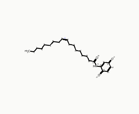 CCCCCCCC/C=C\CCCCCCCC(=O)NC1=CC(=O)C=CC1=O